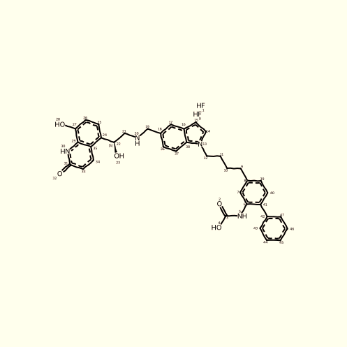 F.F.O=C(O)Nc1cc(CCCCn2ccc3cc(CNC[C@@H](O)c4ccc(O)c5[nH]c(=O)ccc45)ccc32)ccc1-c1ccccc1